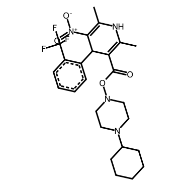 CC1=C(C(=O)ON2CCN(C3CCCCC3)CC2)C(c2ccccc2C(F)(F)F)C([N+](=O)[O-])=C(C)N1